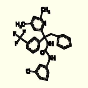 Cc1cc(C)nc(C(Cc2ccccc2)(NC(=O)Nc2cccc(Cl)c2)c2cccc(C(F)(F)F)c2)c1